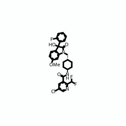 COc1ccc2c(c1)N(C[C@H]1CC[C@H](NC(=O)c3cc(Cl)cnc3C(F)F)CC1)C(=O)C2(O)c1ccccc1F